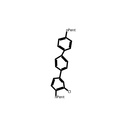 CCCCCc1ccc(-c2ccc(-c3ccc(CCCCC)c(Cl)c3)cc2)cc1